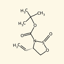 C=C[C@H]1COS(=O)N1C(=O)OC(C)(C)C